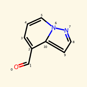 O=[C]c1cccn2nccc12